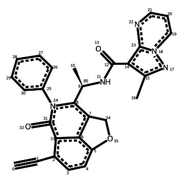 C#Cc1ccc2c3c(c([C@@H](C)NC(=O)c4c(C)nn5cccnc45)n(-c4ccccc4)c(=O)c13)CO2